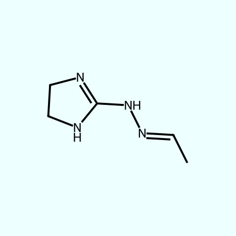 C/C=N/NC1=NCCN1